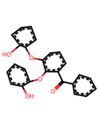 O=C(c1ccccc1)c1cccc(Oc2ccccc2O)c1Oc1ccccc1O